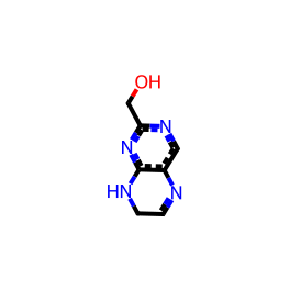 OCc1ncc2c(n1)NCC=N2